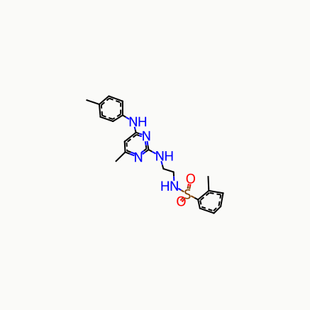 Cc1ccc(Nc2cc(C)nc(NCCNS(=O)(=O)c3ccccc3C)n2)cc1